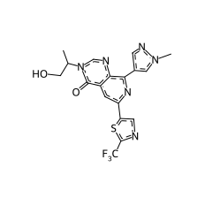 CC(CO)n1cnc2c(-c3cnn(C)c3)nc(-c3cnc(C(F)(F)F)s3)cc2c1=O